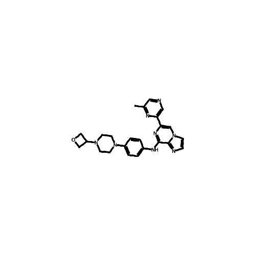 Cc1cncc(-c2cn3ccnc3c(Nc3ccc(N4CCN(C5COC5)CC4)cc3)n2)n1